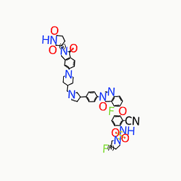 N#Cc1c(NS(=O)(=O)N2CC[C@@H](F)C2)ccc(F)c1Oc1ccc2ncn(-c3ccc(C4CCN(CC5CCN(c6ccc7c(c6)CN([C@H]6CCC(=O)NC6=O)C7=O)CC5)C4)cc3)c(=O)c2c1